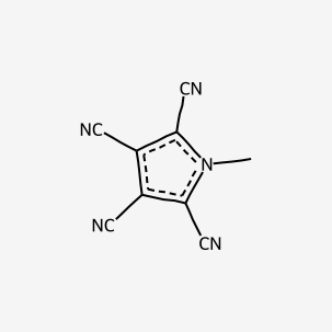 Cn1c(C#N)c(C#N)c(C#N)c1C#N